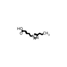 CCCc1cn(CCC=CC(=O)O)nn1